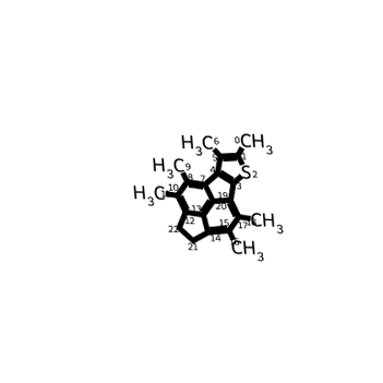 Cc1sc2c(c1C)-c1c(C)c(C)c3c4c(c(C)c(C)c-2c14)CC3